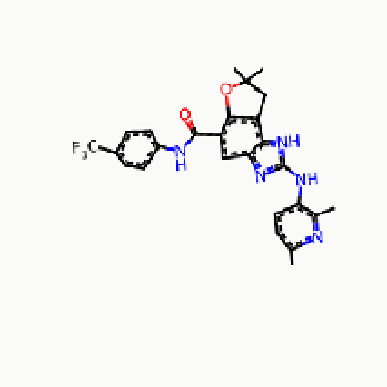 Cc1ccc(Nc2nc3cc(C(=O)Nc4ccc(C(F)(F)F)cc4)c4c(c3[nH]2)CC(C)(C)O4)c(C)n1